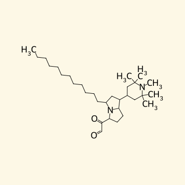 CCCCCCCCCCCCC1CC(C2CC(C)(C)N(C)C(C)(C)C2)C2CCC(C(=O)C=O)N12